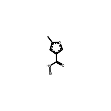 CCNC(=O)c1csc(C)c1